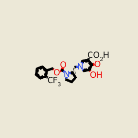 O=C(O)c1cn(C[C@@H]2CCCN2C(=O)OCc2ccccc2C(F)(F)F)cc(O)c1=O